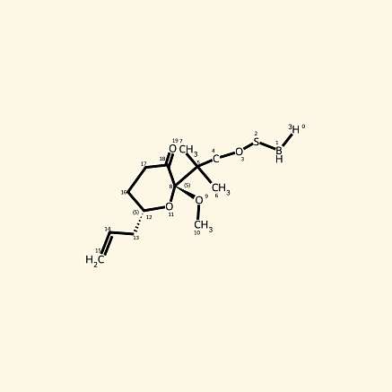 [3H]BSOCC(C)(C)[C@]1(OC)O[C@H](CC=C)CCC1=O